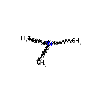 CCCCCCCCCCCCCCCN1C=CN(CCCCCCCCCCCC)C1CCCCCCCCCCCCC